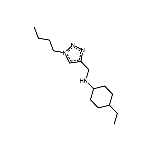 CCCCn1cc(CNC2CCC(CC)CC2)nn1